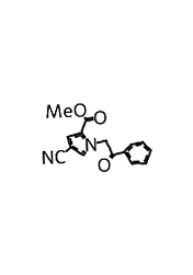 COC(=O)c1cc(C#N)cn1CC(=O)c1ccccc1